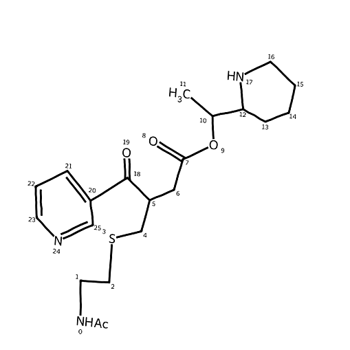 CC(=O)NCCSCC(CC(=O)OC(C)C1CCCCN1)C(=O)c1cccnc1